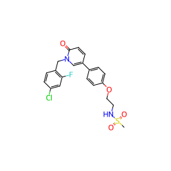 CS(=O)(=O)NCCOc1ccc(-c2ccc(=O)n(Cc3ccc(Cl)cc3F)c2)cc1